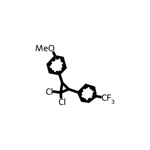 COc1ccc(C2C(c3ccc(C(F)(F)F)cc3)C2(Cl)Cl)cc1